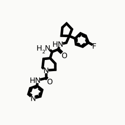 NC(C(=O)NCC1(c2ccc(F)cc2)CCCC1)C1CCN(C(=O)Nc2ccncc2)CC1